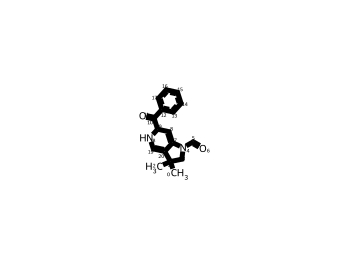 CC1(C)CN(C=O)C2=CC(C(=O)c3ccccc3)NC=C21